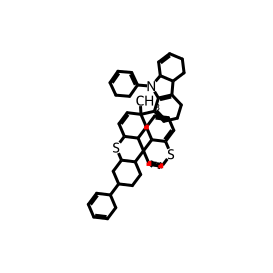 CC1(C2=CCCC3=C2N(C2=CC=CCC2)C2C=CCCC32)C=CC2SC3CC(C4C=CC=CC4)CCC3C3(c4ccccc4SC4=CC=CCC43)C2C1